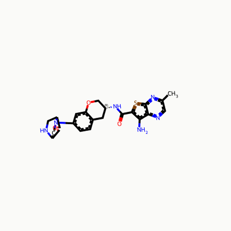 Cc1cnc2c(N)c(C(=O)N[C@H]3COc4cc(N5CC6COCC5CN6)ccc4C3)sc2n1